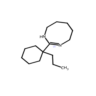 CCCC1(/C2=N/CCCCCN2)CCCCC1